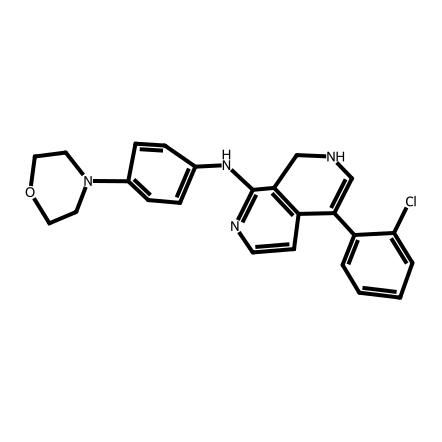 Clc1ccccc1C1=CNCc2c1ccnc2Nc1ccc(N2CCOCC2)cc1